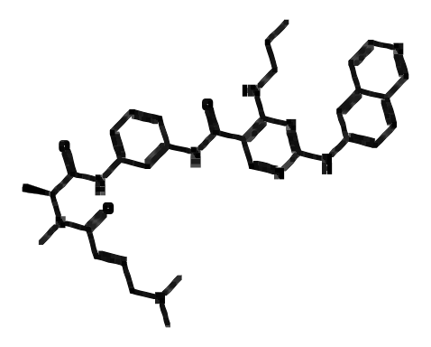 CCCNc1nc(Nc2ccc3cnccc3c2)ncc1C(=O)Nc1cccc(NC(=O)[C@H](C)N(C)C(=O)C=CCN(C)C)c1